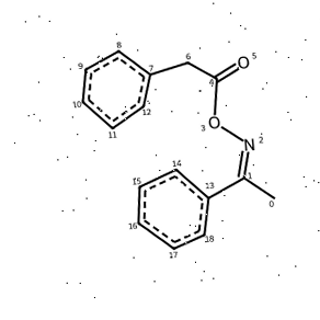 CC(=NOC(=O)Cc1ccccc1)c1ccccc1